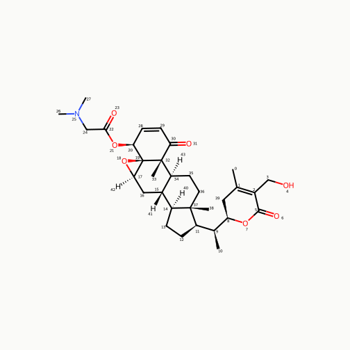 CC1=C(CO)C(=O)O[C@@H]([C@@H](C)[C@H]2CC[C@H]3[C@@H]4C[C@H]5O[C@]56[C@@H](OC(=O)CN(C)C)C=CC(=O)[C@]6(C)[C@H]4CC[C@]23C)C1